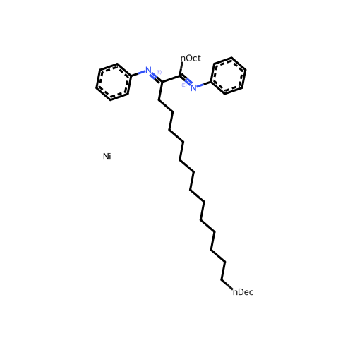 CCCCCCCCCCCCCCCCCCCCCCCC(=N\c1ccccc1)/C(CCCCCCCC)=N/c1ccccc1.[Ni]